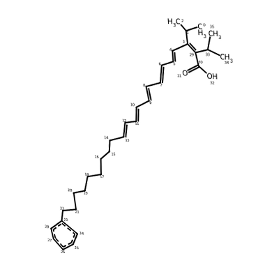 CC(C)C(C=CC=CC=CC=CC=CCCCCCCCCCc1ccccc1)=C(C(=O)O)C(C)C